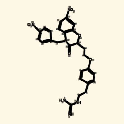 N=C(N)NCCc1ccc(OCCC2Oc3cc([N+](=O)[O-])ccc3N(Cc3ccc([N+](=O)[O-])cc3)C2=O)cc1